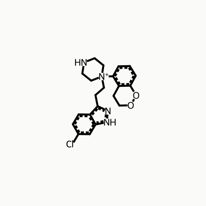 Clc1ccc2c(CC[N+]3(c4cccc5c4CCOO5)CCNCC3)n[nH]c2c1